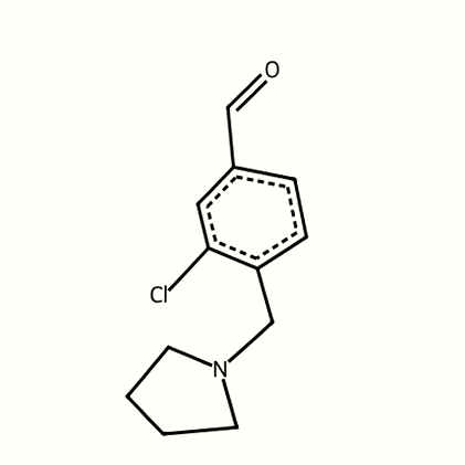 O=Cc1ccc(CN2CCCC2)c(Cl)c1